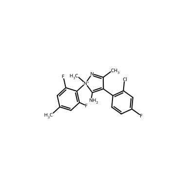 CC1=N[N+](C)(c2c(F)cc(C)cc2F)C(N)=C1c1ccc(F)cc1Cl